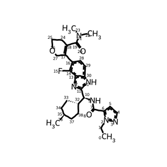 CCn1nccc1C(=O)N[C@H](c1nc2c(F)c(C3=C(C(=O)N(C)C)CCOC3)ccc2[nH]1)[C@H]1CC[C@H](C)CC1